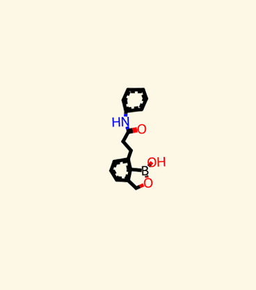 O=C(CCc1cccc2c1B(O)OC2)Nc1ccccc1